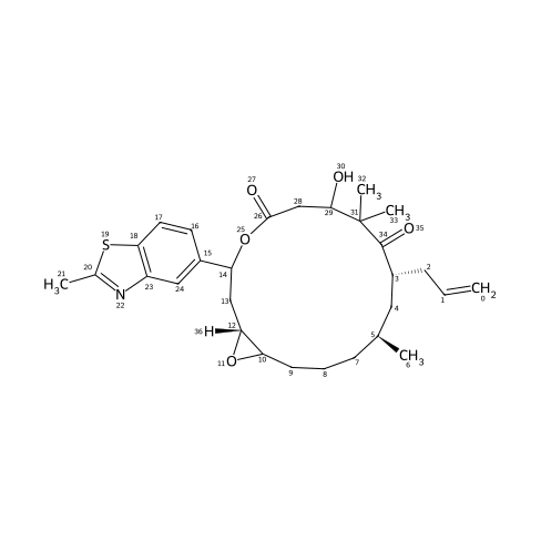 C=CC[C@@H]1C[C@@H](C)CCCC2O[C@@H]2CC(c2ccc3sc(C)nc3c2)OC(=O)CC(O)C(C)(C)C1=O